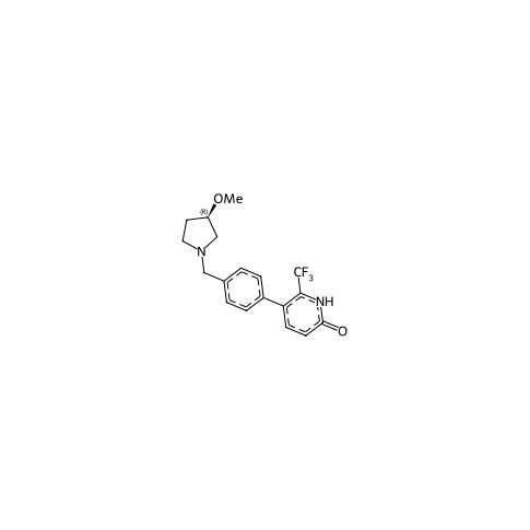 CO[C@@H]1CCN(Cc2ccc(-c3ccc(=O)[nH]c3C(F)(F)F)cc2)C1